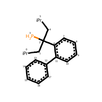 CC(C)CC(P)(CC(C)C)c1ccccc1-c1ccccc1